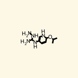 CC(C)OC1C=CC(NC(N)NN)=CN1